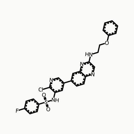 O=S(=O)(Nc1cc(-c2ccc3ncc(NCCOc4ccccc4)nc3c2)cnc1Cl)c1ccc(F)cc1